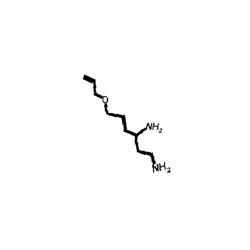 C=CCOCCCC(N)CCN